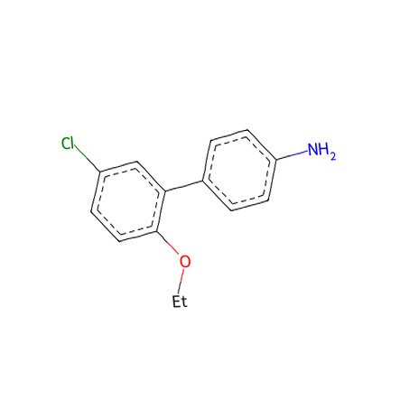 CCOc1ccc(Cl)cc1-c1ccc(N)cc1